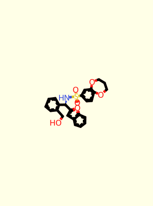 O=S(=O)(N[C@@H](c1cc2ccccc2o1)c1ccccc1CO)c1ccc2c(c1)OCCCO2